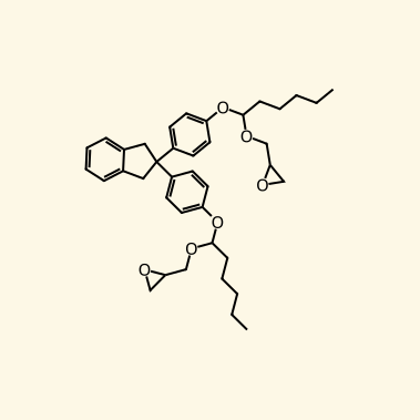 CCCCCC(OCC1CO1)Oc1ccc(C2(c3ccc(OC(CCCCC)OCC4CO4)cc3)Cc3ccccc3C2)cc1